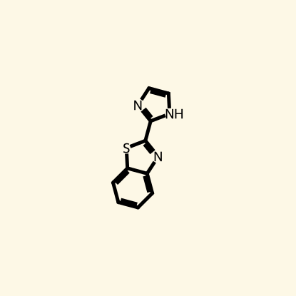 c1ccc2sc(-c3ncc[nH]3)nc2c1